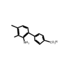 Cc1ccc(-c2ccc(C(=O)O)cc2)c(N)c1C